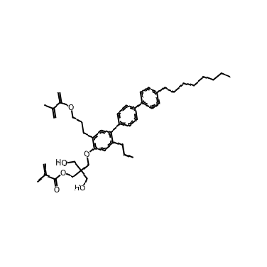 C=C(C)C(=C)OCCCc1cc(-c2ccc(-c3ccc(CCCCCCCC)cc3)cc2)c(CCC)cc1OCC(CO)(CO)COC(=O)C(=C)C